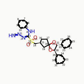 N=N/N=C(\Nc1ccccc1)S(=O)(=O)C[C@H]1CCC2(C1)O[C@H](c1ccccc1)[C@@H](c1ccccc1)O2